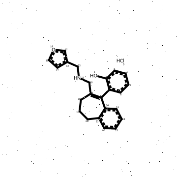 Cl.Oc1ccccc1C1=C(CNCc2ccoc2)CCCc2ccccc21